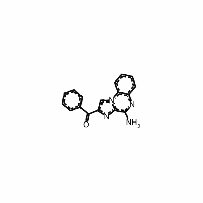 Nc1nc2ccccc2n2cc(C(=O)c3ccccc3)nc12